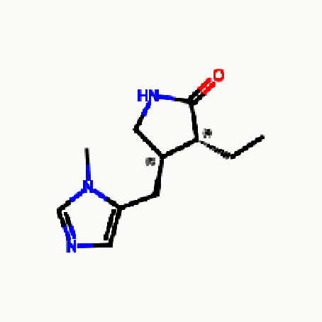 CC[C@H]1C(=O)NC[C@@H]1Cc1cncn1C